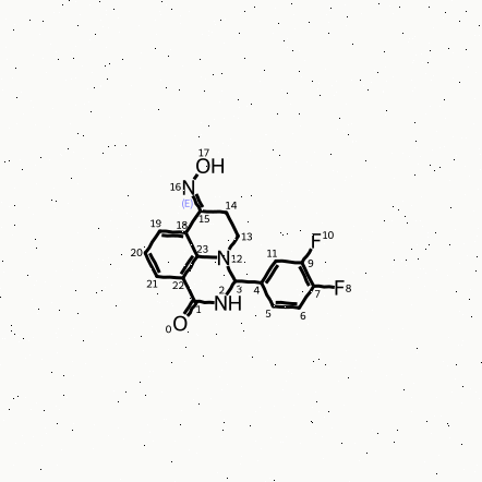 O=C1NC(c2ccc(F)c(F)c2)N2CC/C(=N\O)c3cccc1c32